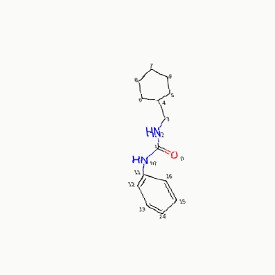 O=C(NCC1CCCCC1)Nc1ccccc1